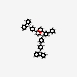 C1=CC(c2ccc(-n3c4ccccc4c4ccccc43)cc2)CC=C1N(c1ccc(-c2ccc(-n3c4ccccc4c4ccccc43)cc2)cc1)c1ccc(-c2ccccc2)cc1-c1ccccc1